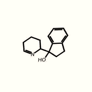 OC1(C2CCCC=N2)CCc2ccccc21